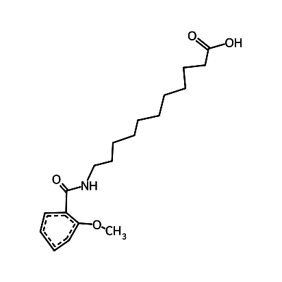 COc1ccccc1C(=O)NCCCCCCCCCCC(=O)O